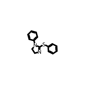 c1ccc(SC2=NCCN2c2ccccc2)cc1